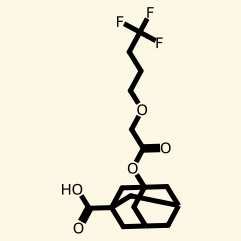 O=C(COCCCC(F)(F)F)OC12CC3CC(C1)CC(C(=O)O)(C3)C2